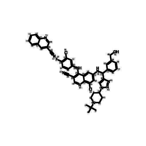 CC(C)(C)N1CCC(n2cc(C(Nc3cc(Cl)c4ncc(C#N)c(Nc5ccc(F)c(Cl)c5)c4c3)c3cccc(CO)c3)nn2)CC1.N#Cc1cnc2ccccc2c1